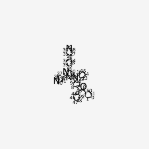 c1ccc(-c2oc3c(ccc4c3c3ccccc3n4-c3cc(-c4ccc(-c5ccncc5)cc4)nc(-c4ccncc4)n3)c2-c2ccccc2)cc1